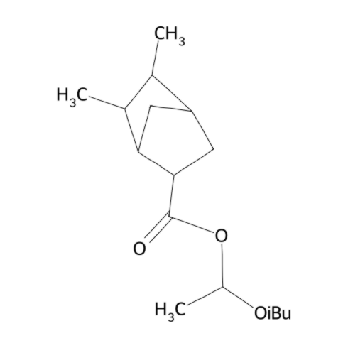 CC(C)COC(C)OC(=O)C1CC2CC1C(C)C2C